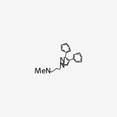 CNCCCn1cc(-c2ccccc2)c(-c2ccccc2)n1